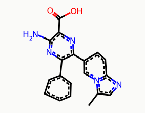 Cc1cnc2ccc(-c3nc(C(=O)O)c(N)nc3-c3ccccc3)cn12